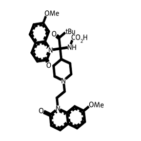 COc1ccc2ccc(=O)n(CCN3CCC(C(NC(=O)O)(C(=O)C(C)(C)C)n4c(=O)ccc5ccc(OC)cc54)CC3)c2c1